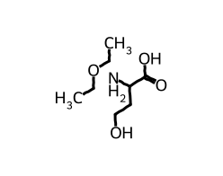 CCOCC.NC(CCO)C(=O)O